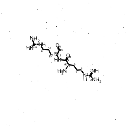 N=C(N)NCCC[C@@H](N)C(=O)N[C@@H](C=O)CCCNC(=N)N